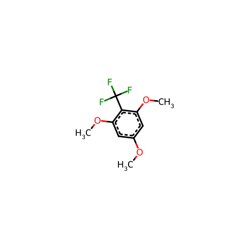 COc1cc(OC)c(C(F)(F)F)c(OC)c1